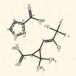 CC1(C)C(C=C(Cl)C(F)(F)F)C1C(=O)O.O=C(O)c1ccon1